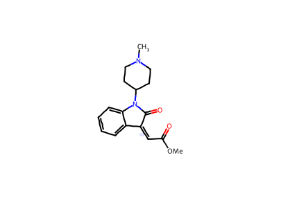 COC(=O)/C=C1\C(=O)N(C2CCN(C)CC2)c2ccccc21